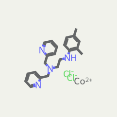 Cc1ccc(NCCN(Cc2ccccn2)Cc2ccccn2)c(C)c1.[Cl-].[Cl-].[Co+2]